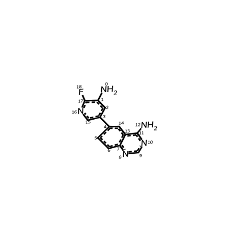 Nc1cc(-c2ccc3ncnc(N)c3c2)cnc1F